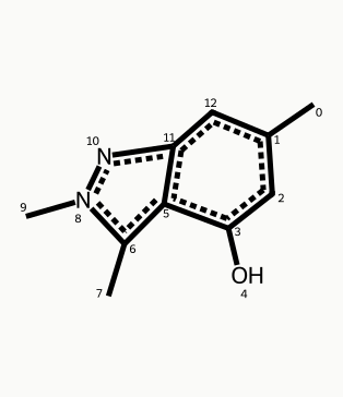 Cc1cc(O)c2c(C)n(C)nc2c1